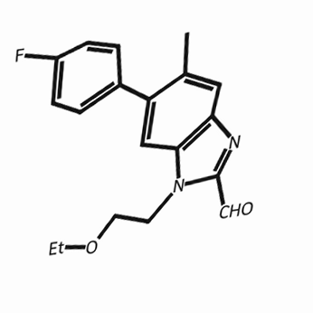 CCOCCn1c(C=O)nc2cc(C)c(-c3ccc(F)cc3)cc21